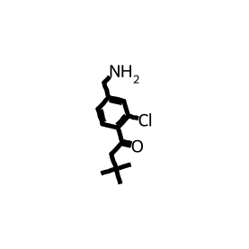 CC(C)(C)CC(=O)c1ccc(CN)cc1Cl